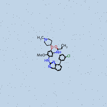 C=CC(=O)Nc1cc(Nc2ncc3cccc(-c4cccc(Cl)c4)c3n2)c(OC)cc1OC1CCN(C)CC1